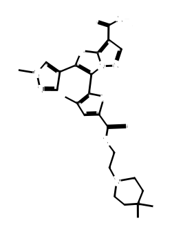 Cc1cc(C(=O)NCCN2CCC(C)(C)CC2)sc1-c1c(-c2cnn(C)c2)sc2c(C(N)=O)cnn12